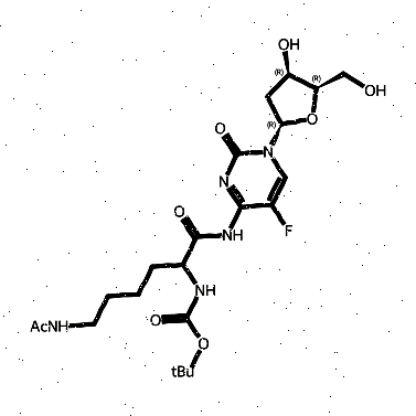 CC(=O)NCCCCC(NC(=O)OC(C)(C)C)C(=O)Nc1nc(=O)n([C@H]2C[C@@H](O)[C@@H](CO)O2)cc1F